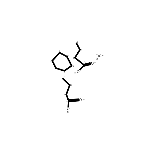 C1CCCCC1.CCCC(=O)[O-].CCCC(=O)[O-].[Co+2]